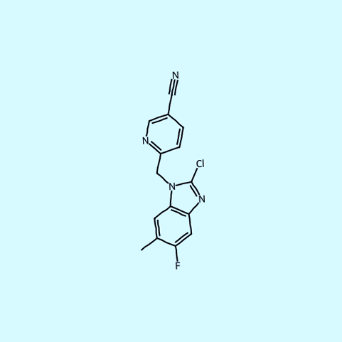 Cc1cc2c(cc1F)nc(Cl)n2Cc1ccc(C#N)cn1